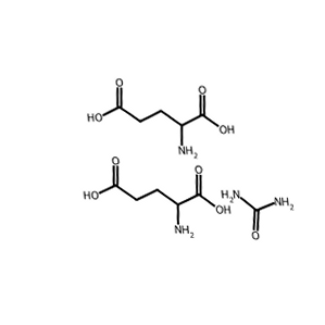 NC(CCC(=O)O)C(=O)O.NC(CCC(=O)O)C(=O)O.NC(N)=O